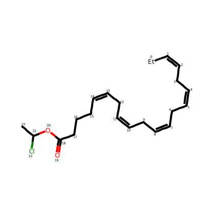 CC/C=C\C/C=C\C/C=C\C/C=C\C/C=C\CCCC(=O)OC(C)Cl